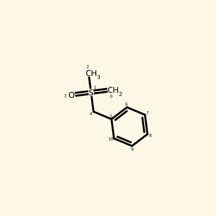 C=S(C)(=O)Cc1ccccc1